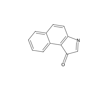 O=C1C=Nc2ccc3ccccc3c21